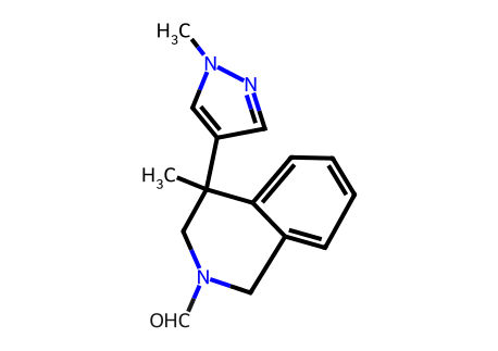 Cn1cc(C2(C)CN(C=O)Cc3ccccc32)cn1